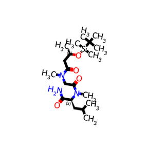 CC(C)C[C@@H](C(N)=O)N(C)C(=O)CN(C)C(=O)C[C@@H](C)O[Si](C)(C)C(C)(C)C